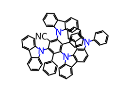 N#Cc1c(-n2c3ccccc3c3ccccc32)c(-c2ccccc2)c(-n2c3ccccc3c3ccc4c(c5ccccc5n4-c4ccccc4)c32)c(-c2ccccc2)c1-n1c2ccccc2c2ccccc21